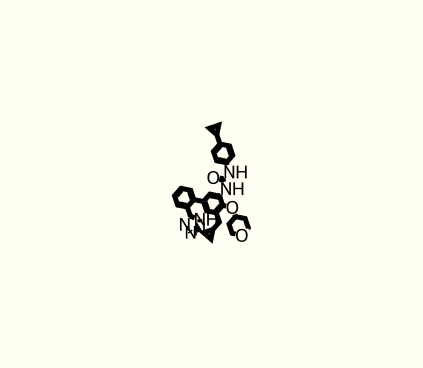 O=C(Nc1ccc(C2CC2)cc1)Nc1cc(-c2ccccc2-c2nnn[nH]2)cc(CC2CC2)c1OC1CCOCC1